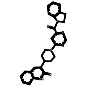 O=C(c1cc(N2CCC(c3cc4ccccc4[nH]c3=O)CC2)ncn1)N1CCc2ccccc21